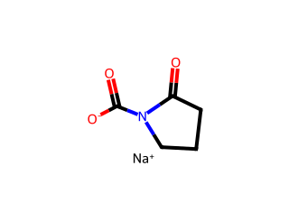 O=C([O-])N1CCCC1=O.[Na+]